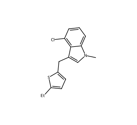 CCc1ccc(Cc2cn(C)c3cccc(Cl)c23)s1